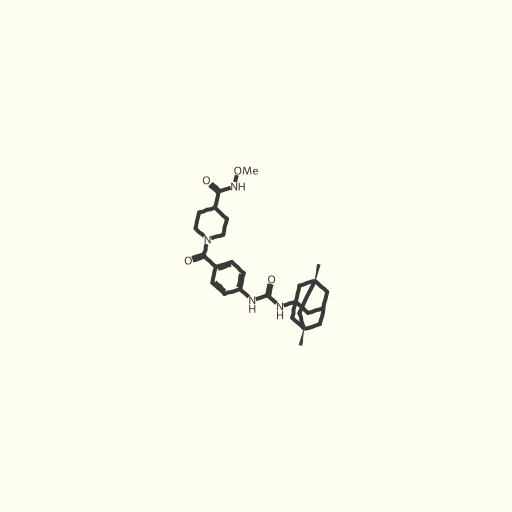 CONC(=O)C1CCN(C(=O)c2ccc(NC(=O)NC34CC5C[C@@](C)(C3)C[C@](C)(C5)C4)cc2)CC1